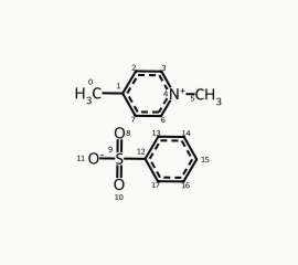 Cc1cc[n+](C)cc1.O=S(=O)([O-])c1ccccc1